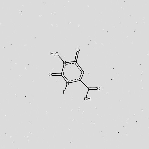 Cn1c(=O)cc(C(=O)O)n(F)c1=O